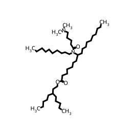 CCCCCCCCCCC(CCCCCCC(=O)OCCC(CCCCC)CCCCC)N(CCCCCCCCCC)C(=O)CCCCN(C)C